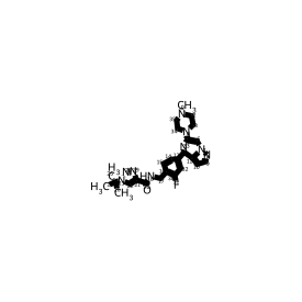 CN1CCN(c2cn3nccc3c(-c3ccc(CNC(=O)c4cn(C(C)(C)C)nn4)c(F)c3)n2)CC1